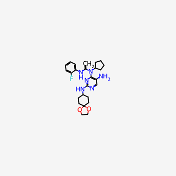 C=C(Nc1ccccc1F)N(c1nc(NC2CCC3(CC2)OCCO3)ncc1N)C1CCCC1